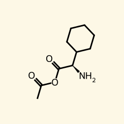 CC(=O)OC(=O)[C@H](N)C1CCCCC1